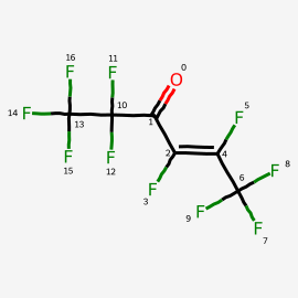 O=C(/C(F)=C(\F)C(F)(F)F)C(F)(F)C(F)(F)F